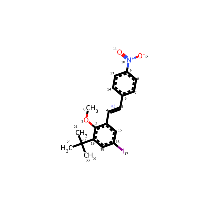 COc1c(/C=C/c2ccc([N+](=O)[O-])cc2)cc(I)cc1C(C)(C)C